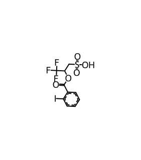 O=C(OC(CS(=O)(=O)O)C(F)(F)F)c1ccccc1I